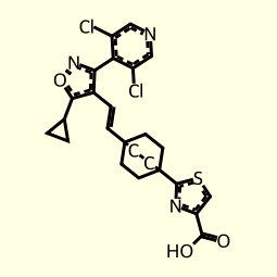 O=C(O)c1csc(C23CCC(C=Cc4c(-c5c(Cl)cncc5Cl)noc4C4CC4)(CC2)CC3)n1